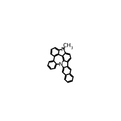 Cn1c2cccc3c4ccccc4n4c5cc6ccccc6cc5c5ccc1c(c32)c54